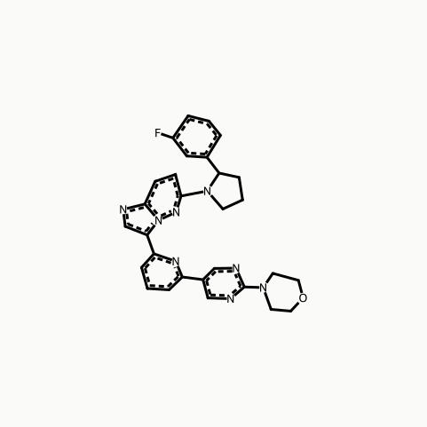 Fc1cccc(C2CCCN2c2ccc3ncc(-c4cccc(-c5cnc(N6CCOCC6)nc5)n4)n3n2)c1